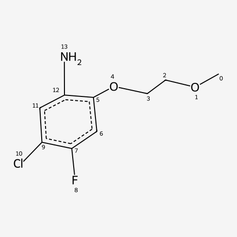 COCCOc1cc(F)c(Cl)cc1N